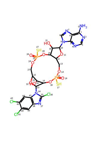 Nc1ncnc2c1ncn2C1OC2COP(=O)(S)OC3C(O)C(COP(=O)(S)OC2C1O)OC3n1c(Cl)nc2cc(Cl)c(Cl)cc21